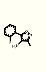 Cc1noc(-c2ccccc2F)c1N